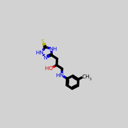 Cc1cccc(NCC(O)Cc2n[nH]c(=S)[nH]2)c1